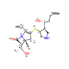 CNCC[C@@H](O)[C@H]1CNC[C@H]1SC1=C(C(=O)O)N2C(=O)[C@H]([C@@H](C)O)[C@H]2[C@H]1C